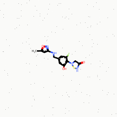 Cc1cc(NCc2cc(O)c(N3CC(=O)NS3)c(F)c2)no1